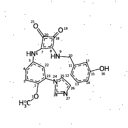 COc1ccc(Nc2c(NCc3cccc(O)c3)c(=O)c2=O)cc1-n1ccnc1